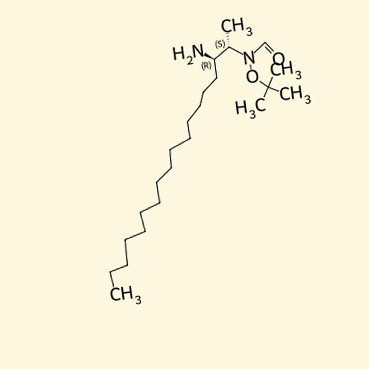 CCCCCCCCCCCCCCC[C@@H](N)[C@H](C)N(C=O)OC(C)(C)C